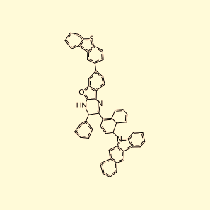 C1=CC2=C(C3=Nc4c(oc5cc(-c6ccc7sc8ccccc8c7c6)ccc45)NC3c3ccccc3)C=CC(n3c4ccccc4c4cc5ccccc5cc43)C2C=C1